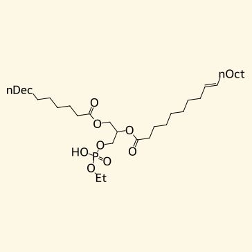 CCCCCCCCC=CCCCCCCCC(=O)OC(COC(=O)CCCCCCCCCCCCCCC)COP(=O)(O)OCC